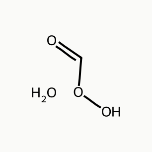 O.O=COO